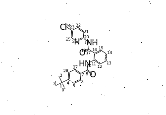 CC(C)(C)c1ccc(C(=O)Nc2ccccc2C(=O)Nc2ccc(Cl)cn2)cc1